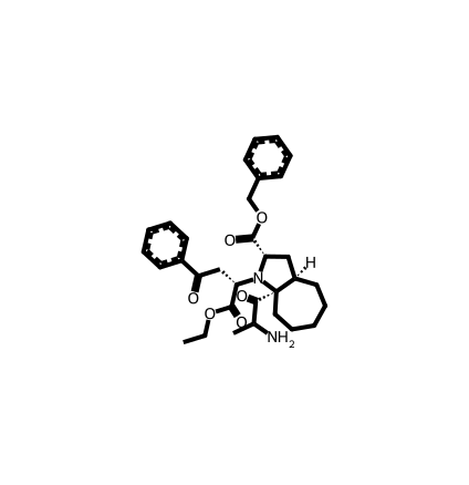 CCOC(=O)[C@H](CC(=O)c1ccccc1)N1[C@H](C(=O)OCc2ccccc2)C[C@H]2CCCCC[C@]21C(=O)C(C)N